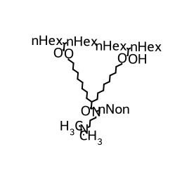 CCCCCCCCCN(CCCN(C)C)C(=O)C(CCCCCCCCCOC(=O)C(CCCCCC)CCCCCC)CCCCCCCCCOC(O)C(CCCCCC)CCCCCC